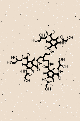 CN(CCC(CCN(C)C(=O)c1c(I)c(NC(=O)CO)c(I)c(C(=O)N(C)CC(O)CO)c1I)CCN(C)C(=O)c1c(I)c(NC(=O)CO)c(I)c(C(=O)N(C)CC(O)CO)c1I)C(=O)c1c(I)c(NC(=O)CO)c(I)c(C(=O)N(C)CC(O)CO)c1I